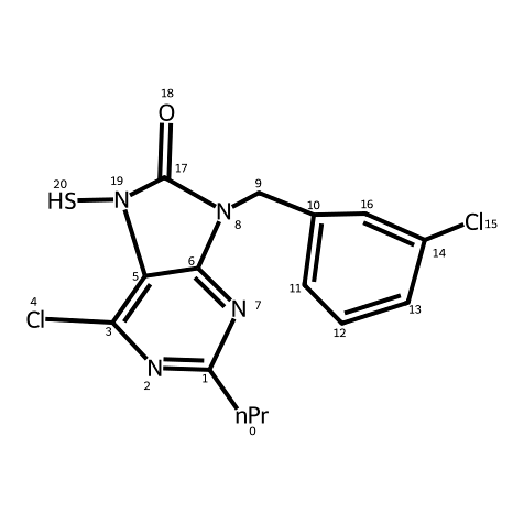 CCCc1nc(Cl)c2c(n1)n(Cc1cccc(Cl)c1)c(=O)n2S